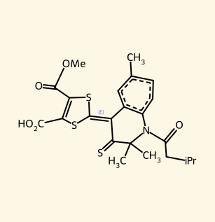 COC(=O)C1=C(C(=O)O)S/C(=C2\C(=S)C(C)(C)N(C(=O)CC(C)C)c3ccc(C)cc32)S1